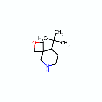 CC(C)(C)C1CCNCC12COC2